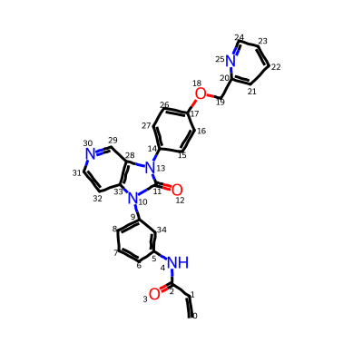 C=CC(=O)Nc1cccc(-n2c(=O)n(-c3ccc(OCc4ccccn4)cc3)c3cnccc32)c1